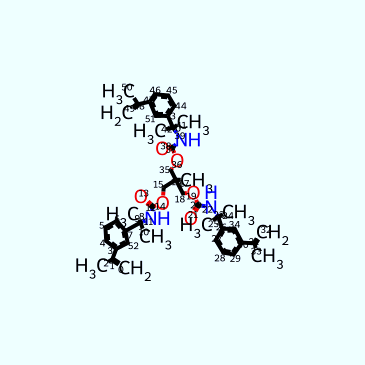 C=C(C)c1cccc(C(C)(C)NC(=O)OCC(C)(COC(=O)NC(C)(C)c2cccc(C(=C)C)c2)COC(=O)NC(C)(C)c2cccc(C(=C)C)c2)c1